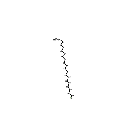 CCCCCCCCCCCCCCCCCCCCCCCCCCCC[CH]F